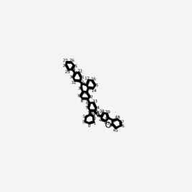 C1=Cc2c(c3cc(-c4ccc5c(c4)-c4ccccc4C(c4ccc(-c6ccccc6)cc4)C5)ccc3n2-c2ccc3c(c2)oc2ccccc23)CC1